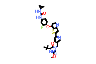 COCCN(Cc1ccc(-c2cc3nccc(Oc4ccc(NC(=O)NC5CC5)cc4F)c3s2)nc1)C(=O)[C@@H](N)C(C)(C)C